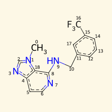 Cn1cnc2ccnc(NCc3cccc(C(F)(F)F)c3)c21